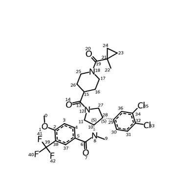 COc1ccc(C(=O)N(C)[C@@H]2CN(C(=O)C3CCN(C(=O)C4(C)CC4)CC3)C[C@@H]2c2ccc(Cl)c(Cl)c2)cc1C(F)(F)F